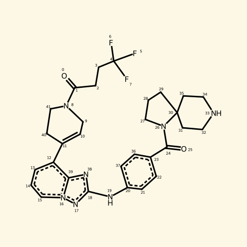 O=C(CCC(F)(F)F)N1CC=C(c2cccn3nc(Nc4ccc(C(=O)N5CCCC56CCNCC6)cc4)nc23)CC1